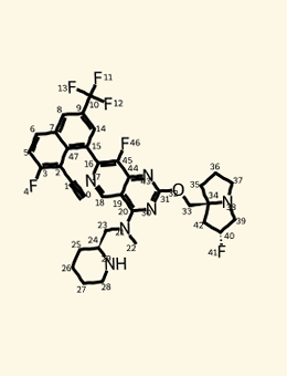 C#Cc1c(F)ccc2cc(C(F)(F)F)cc(-c3ncc4c(N(C)C[C@@H]5CCCCN5)nc(OC[C@@]56CCCN5C[C@H](F)C6)nc4c3F)c12